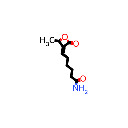 CC1OC(=O)/C1=C\CCCCC(N)=O